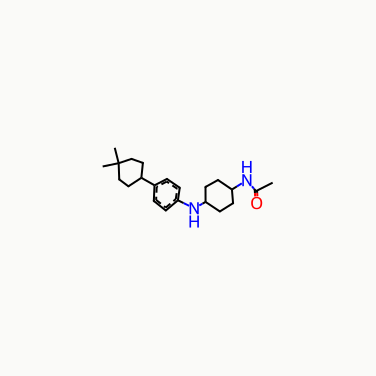 CC(=O)NC1CCC(Nc2ccc(C3CCC(C)(C)CC3)cc2)CC1